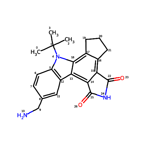 CC(C)(C)n1c2ccc(CN)cc2c2c3c(c4c(c21)CCC4)C(=O)NC3=O